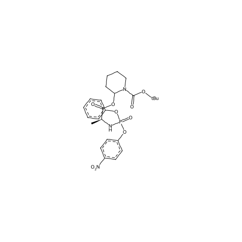 C[C@H](NP(=O)(Oc1ccccc1)Oc1ccc([N+](=O)[O-])cc1)C(=O)OC1CCCCN1C(=O)OC(C)(C)C